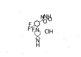 Cl.O=c1[nH]nc(-c2ccc(C(F)(F)F)c(N3CCC4(CC3)CNC4)c2)o1